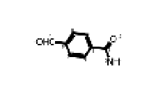 [NH]C(=O)c1ccc([C]=O)cc1